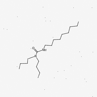 CCCCCCCCCNC(=O)N(CCCC)CCCC